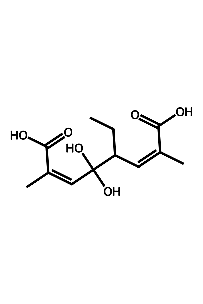 CCC(C=C(C)C(=O)O)C(O)(O)C=C(C)C(=O)O